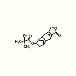 CCC(C)(C)C(=O)OC1CC2CC1C1C3CC(C4C(=O)OCC34)C21